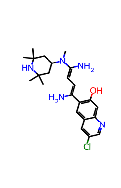 CN(/C(N)=C/C=C(\N)c1cc2cc(Cl)cnc2cc1O)C1CC(C)(C)NC(C)(C)C1